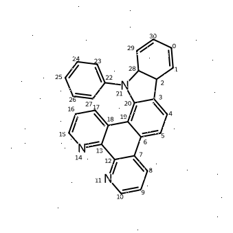 C1=CC2c3ccc4c5cccnc5c5ncccc5c4c3N(c3ccccc3)C2C=C1